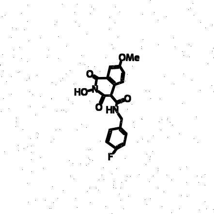 COc1ccc2c(c1)C(=O)N(O)C(=O)C2C(=O)NCc1ccc(F)cc1